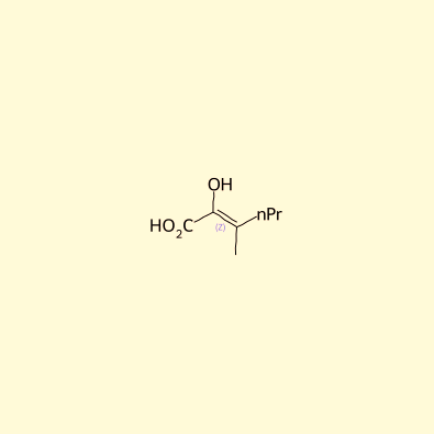 CCC/C(C)=C(\O)C(=O)O